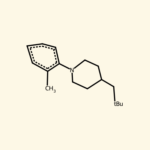 Cc1ccccc1N1CCC(CC(C)(C)C)CC1